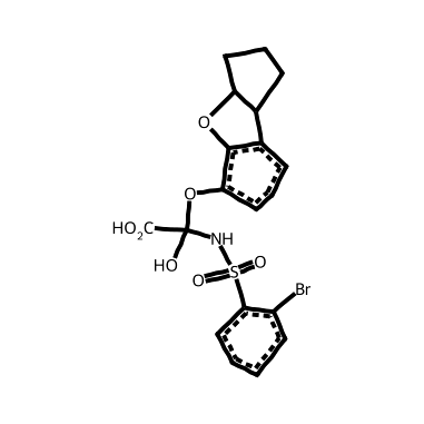 O=C(O)C(O)(NS(=O)(=O)c1ccccc1Br)Oc1cccc2c1OC1CCCC21